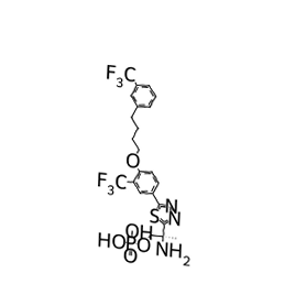 C[C@](N)(COP(=O)(O)O)c1nnc(-c2ccc(OCCCCc3cccc(C(F)(F)F)c3)c(C(F)(F)F)c2)s1